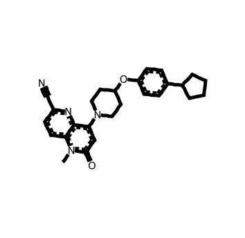 Cn1c(=O)cc(N2CCC(Oc3ccc(C4CCCC4)cc3)CC2)c2nc(C#N)ccc21